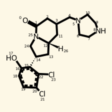 O=C1CC(CN2CCNCC2)C[C@@H]2C[C@H](c3c(O)ccc(Cl)c3Cl)CN12